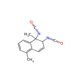 Cc1cccc2c1C=CC(N=C=O)C2(C)N=C=O